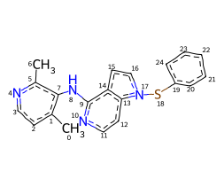 Cc1ccnc(C)c1Nc1nccc2c1ccn2Sc1ccccc1